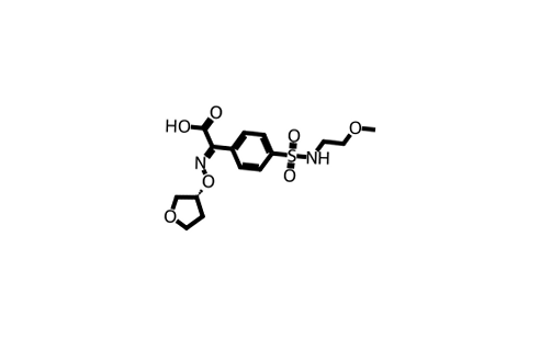 COCCNS(=O)(=O)c1ccc(/C(=N\O[C@@H]2CCOC2)C(=O)O)cc1